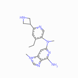 CCc1cc(C2CNC2)ncc1N(C)c1cc2c(ncn2C)c(N)n1